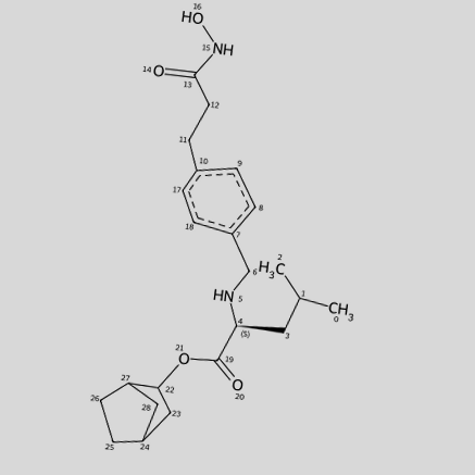 CC(C)C[C@H](NCc1ccc(CCC(=O)NO)cc1)C(=O)OC1CC2CCC1C2